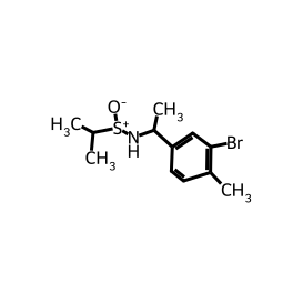 Cc1ccc(C(C)N[S+]([O-])C(C)C)cc1Br